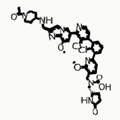 COc1nc(-c2cccc(-c3ccnc(-c4cc(OC)c5nc(CNC6CCN(C(C)=O)CC6)cn5c4)c3Cl)c2Cl)ccc1CN(C[C@@H]1CCC(=O)N1)C(=O)O